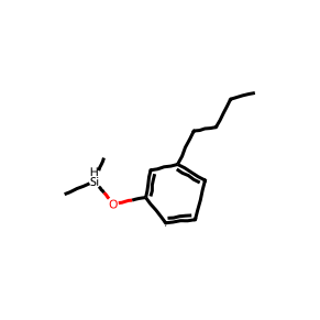 CCCCc1cc[c]c(O[SiH](C)C)c1